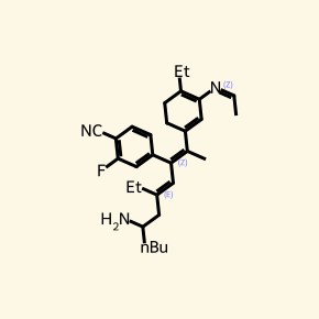 C/C=N\C1=C(CC)CCC(/C(C)=C(/C=C(\CC)CC(N)CCCC)c2ccc(C#N)c(F)c2)=C1